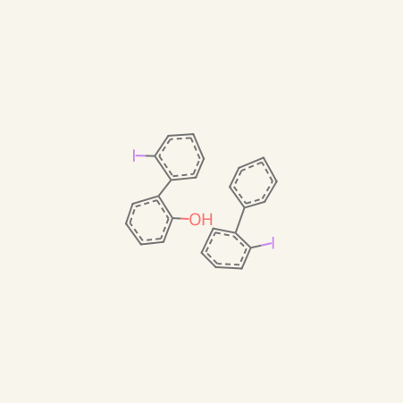 Ic1ccccc1-c1ccccc1.Oc1ccccc1-c1ccccc1I